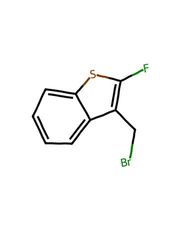 Fc1sc2ccccc2c1CBr